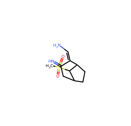 CS(=O)(=O)C1C2CCC1/C(=C/N)C(=N)C2